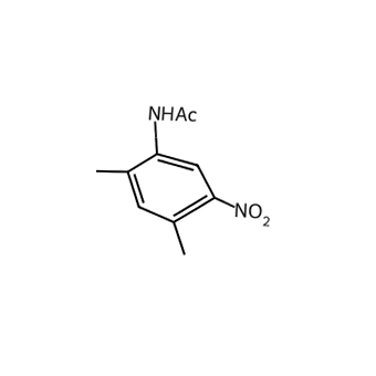 CC(=O)Nc1cc([N+](=O)[O-])c(C)cc1C